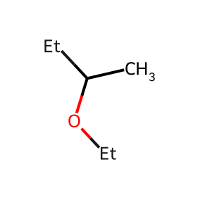 CCOC(C)CC